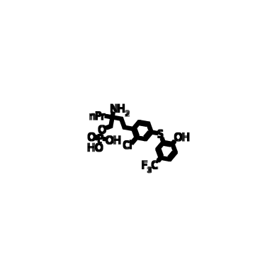 CCCC(N)(CCc1ccc(Sc2cc(C(F)(F)F)ccc2O)cc1Cl)COP(=O)(O)O